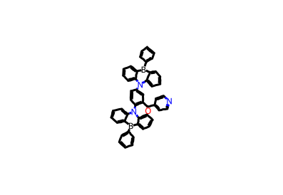 O=C(c1ccncc1)c1cc(N2c3ccccc3B(c3ccccc3)c3ccccc32)ccc1N1c2ccccc2B(c2ccccc2)c2ccccc21